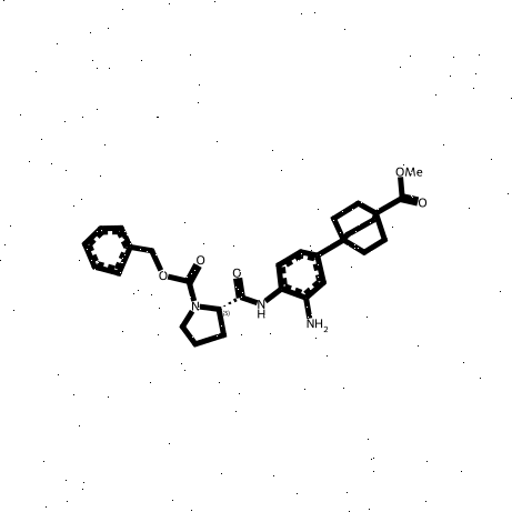 COC(=O)C12CCC(c3ccc(NC(=O)[C@@H]4CCCN4C(=O)OCc4ccccc4)c(N)c3)(CC1)CC2